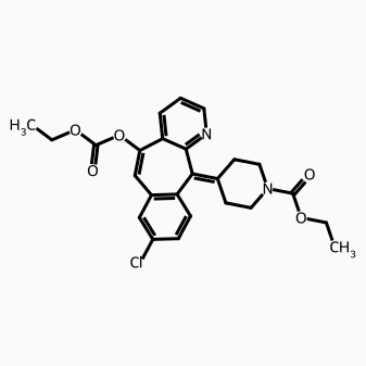 CCOC(=O)OC1=Cc2cc(Cl)ccc2C(=C2CCN(C(=O)OCC)CC2)c2ncccc21